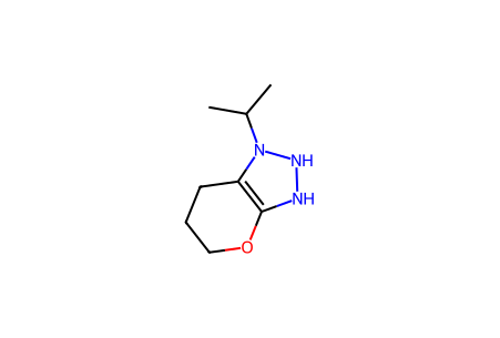 CC(C)N1NNC2=C1CCCO2